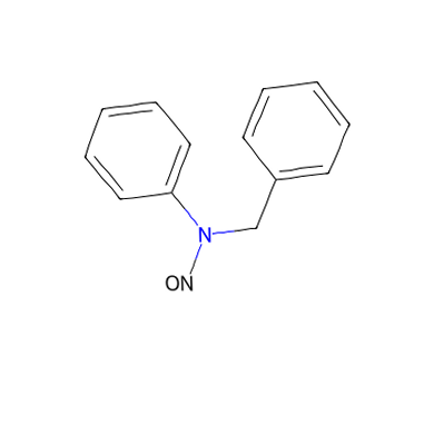 O=NN(Cc1ccccc1)c1ccccc1